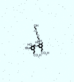 Cc1cc(C=CC(=O)O)cc(C(C)(C)C)c1O.Cc1cc(C=CC(=O)O)cc(C(C)(C)C)c1O.OCCOCCOCCO